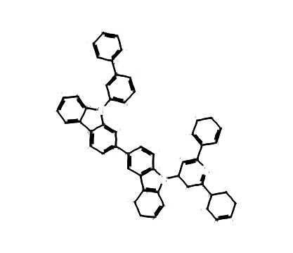 C1=CC(C2=CC(n3c4c(c5cc(-c6ccc7c8ccccc8n(-c8cccc(-c9ccccc9)c8)c7c6)ccc53)CCC=C4)CC(C3CC=CCC3)=N2)=CCC1